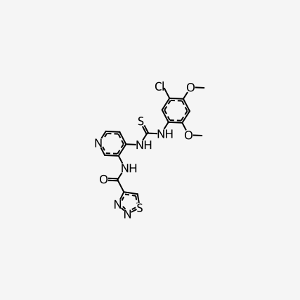 COc1cc(OC)c(NC(=S)Nc2ccncc2NC(=O)c2csnn2)cc1Cl